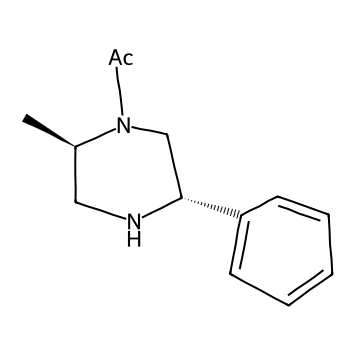 CC(=O)N1C[C@H](c2ccccc2)NC[C@H]1C